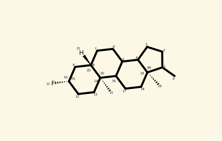 CC1CCC2C3CC[C@H]4C[C@@H](F)CC[C@]4(C)C3CC[C@]12C